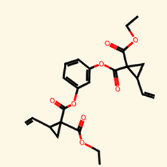 C=CC1CC1(C(=O)OCC)C(=O)Oc1cccc(OC(=O)C2(C(=O)OCC)CC2C=C)c1